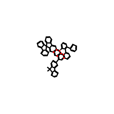 CC1(C)c2ccccc2-c2cc(-c3cccc(N(c4ccc5c(c4)-c4ccccc4C54c5ccccc5-c5ccccc54)c4cccc(-c5ccccc5)c4-c4ccccc4-c4ccccc4)c3)ccc21